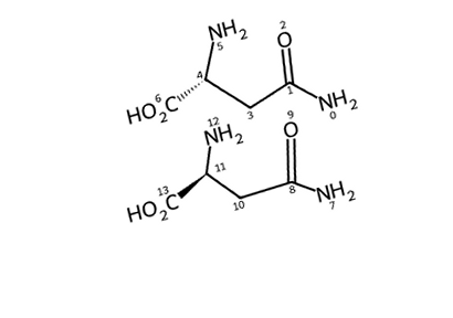 NC(=O)C[C@@H](N)C(=O)O.NC(=O)C[C@H](N)C(=O)O